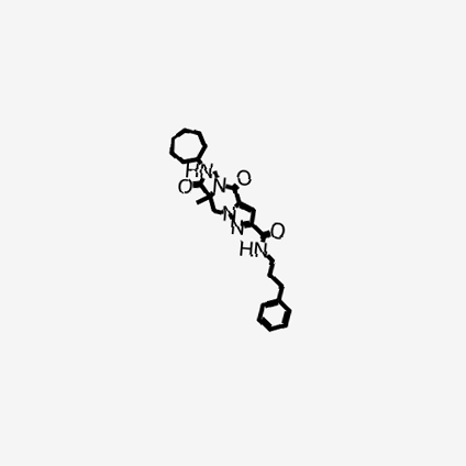 CN1C(=O)c2cc(C(=O)NCCCc3ccccc3)nn2CC1(C)C(=O)NC1CCCCCC1